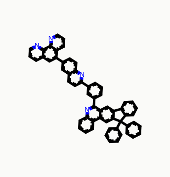 c1ccc(C2(c3ccccc3)c3ccccc3-c3cc4c(-c5cccc(-c6ccc7cc(-c8cc9cccnc9c9ncccc89)ccc7n6)c5)nc5ccccc5c4cc32)cc1